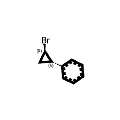 Br[C@@H]1C[C@H]1c1ccccc1